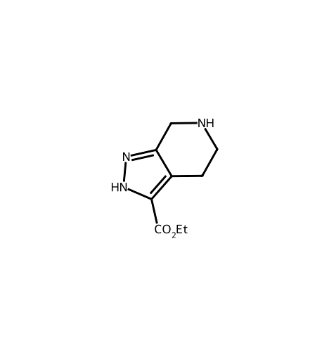 CCOC(=O)c1[nH]nc2c1CCNC2